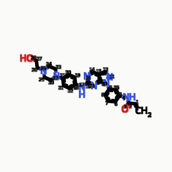 C=CC(=O)Nc1cccc(-n2ncc3cnc(Nc4ccc(N5CCN(CCO)CC5)cc4)nc32)c1